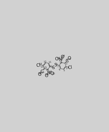 O=C=C1C(Cl)=CC=C(SSC2=CC=C(Cl)C(=C=O)C2[N+](=O)[O-])C1[N+](=O)[O-]